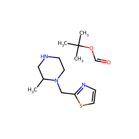 CC(C)(C)OC=O.CC1CNCCN1Cc1nccs1